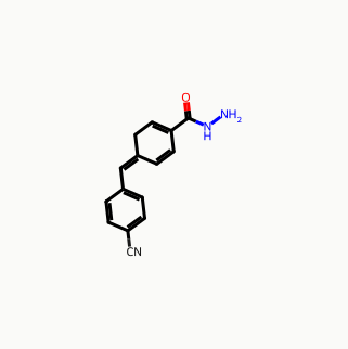 N#Cc1ccc(C=C2C=CC(C(=O)NN)=CC2)cc1